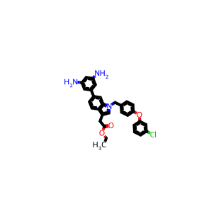 CCOC(=O)Cc1cn(Cc2ccc(Oc3cccc(Cl)c3)cc2)c2cc(-c3cc(N)cc(N)c3)ccc12